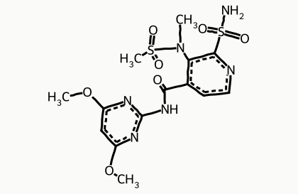 COc1cc(OC)nc(NC(=O)c2ccnc(S(N)(=O)=O)c2N(C)S(C)(=O)=O)n1